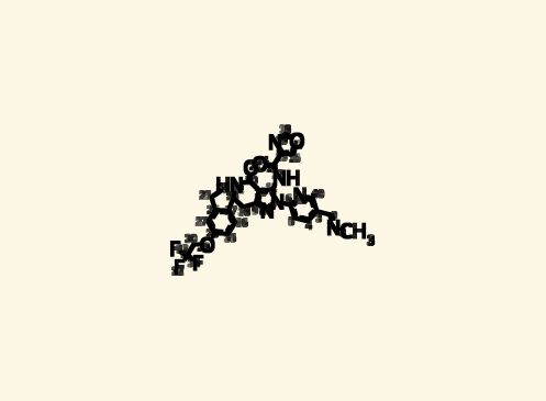 C/N=C/c1ccc(-n2nc3c(c2NC(=O)c2cocn2)C(=O)N[C@@]2(CCc4cc(OCC(F)(F)F)ccc42)C3)nc1